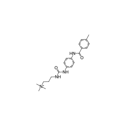 Cc1ccc(C(=O)Nc2ccc(NC(=O)NCCC[N+](C)(C)C)cc2)cc1